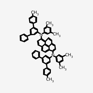 Cc1ccc(-c2cc(-c3ccccc3)cc(N(c3cc(C)cc(C)c3)c3ccc4ccc5c(N(c6cc(C)cc(C)c6)c6cc(-c7ccccc7)cc(-c7ccc(C)cc7)c6)ccc6ccc3c4c65)c2)cc1